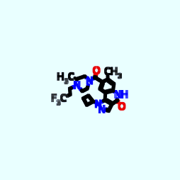 Cc1cc2[nH]c(=O)c3cnn(C4CCC4)c3c2cc1C(=O)N1CCN(CCC(F)(F)F)[C@@H](C)C1